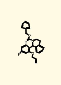 C=CCOc1cc(F)ccc1C1c2ccccc2CCN1C(=O)OCc1ccccc1